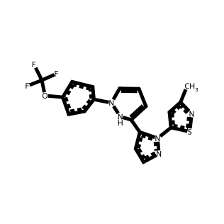 Cc1cc(-n2nccc2C2=CC=CN(c3ccc(OC(F)(F)F)cc3)N2)sn1